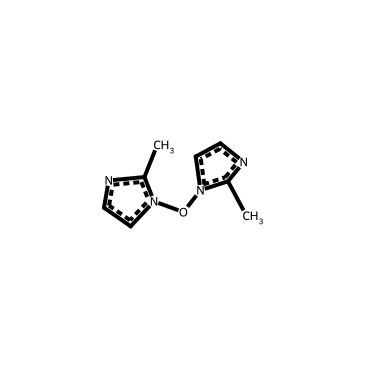 Cc1nccn1On1ccnc1C